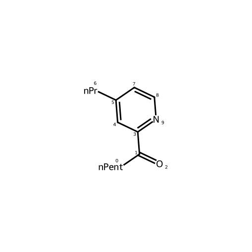 CCCCCC(=O)c1cc(CCC)ccn1